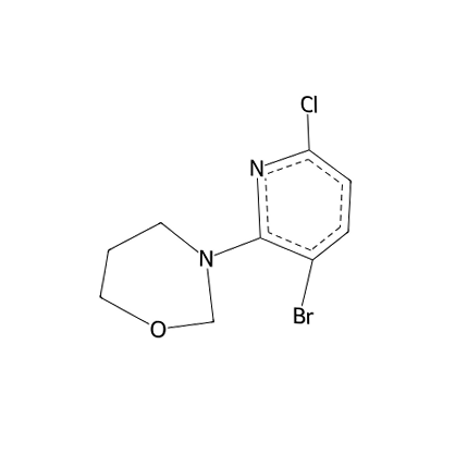 Clc1ccc(Br)c(N2CCCOC2)n1